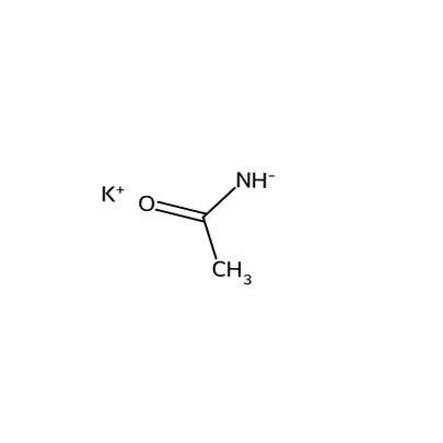 CC([NH-])=O.[K+]